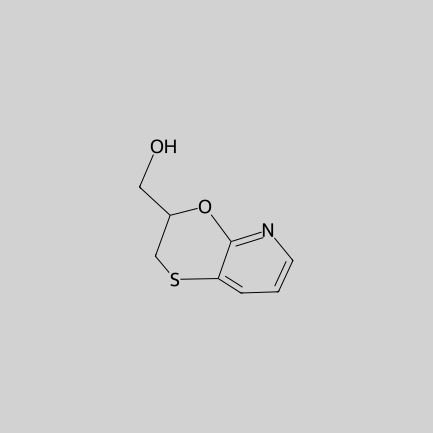 OCC1CSc2cccnc2O1